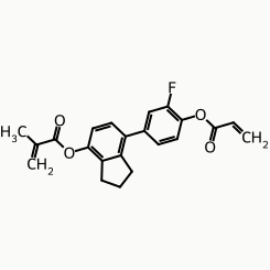 C=CC(=O)Oc1ccc(-c2ccc(OC(=O)C(=C)C)c3c2CCC3)cc1F